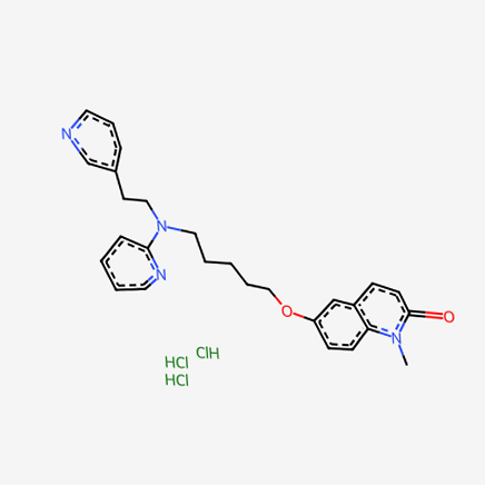 Cl.Cl.Cl.Cn1c(=O)ccc2cc(OCCCCCN(CCc3cccnc3)c3ccccn3)ccc21